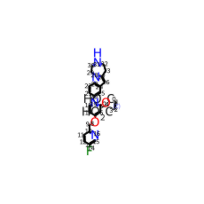 O=C(O)/C=C\C(=O)O.O=c1cc(OCc2ccc(F)cn2)ccn1-c1ccc2c(c1)cc1n2CCNCC1